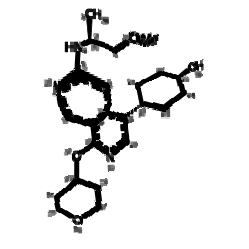 COC[C@H](C)Nc1cc2c(cn1)c(OC1CCOCC1)ncc2[C@H]1CC[C@H](O)CC1